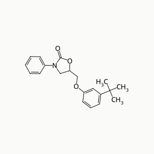 CC(C)(C)c1cccc(OCC2CN(c3ccccc3)C(=O)O2)c1